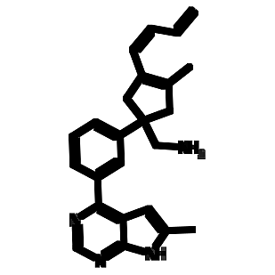 C=C/C=C\C1=C(C)CC(CN)(c2cccc(-c3ncnc4[nH]c(C)cc34)c2)C1